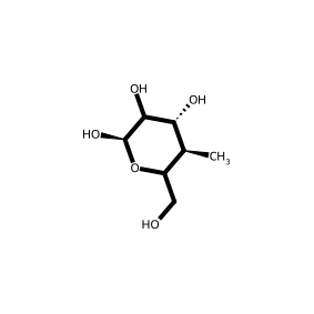 C[C@H]1C(CO)O[C@@H](O)C(O)[C@@H]1O